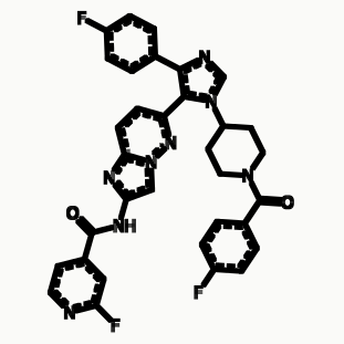 O=C(Nc1cn2nc(-c3c(-c4ccc(F)cc4)ncn3C3CCN(C(=O)c4ccc(F)cc4)CC3)ccc2n1)c1ccnc(F)c1